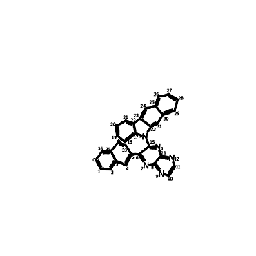 c1ccc2cc(-c3nc4nccnc4nc3-n3c4ccccc4c4cc5ccccc5cc43)ccc2c1